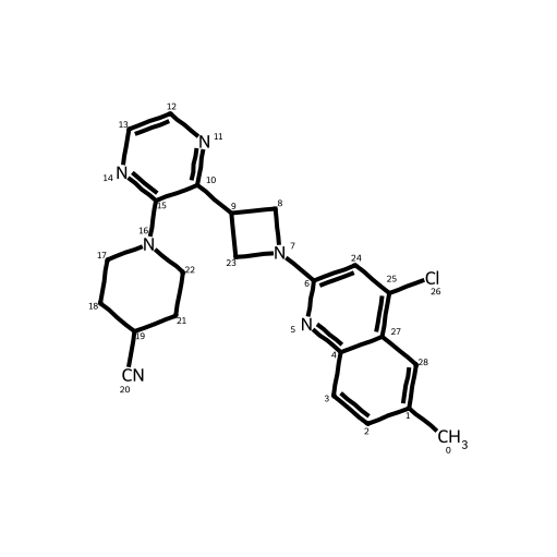 Cc1ccc2nc(N3CC(c4nccnc4N4CCC(C#N)CC4)C3)cc(Cl)c2c1